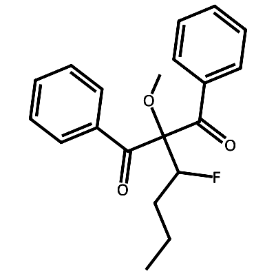 CCCC(F)C(OC)(C(=O)c1ccccc1)C(=O)c1ccccc1